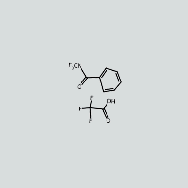 O=C(NC(F)(F)F)c1ccccc1.O=C(O)C(F)(F)F